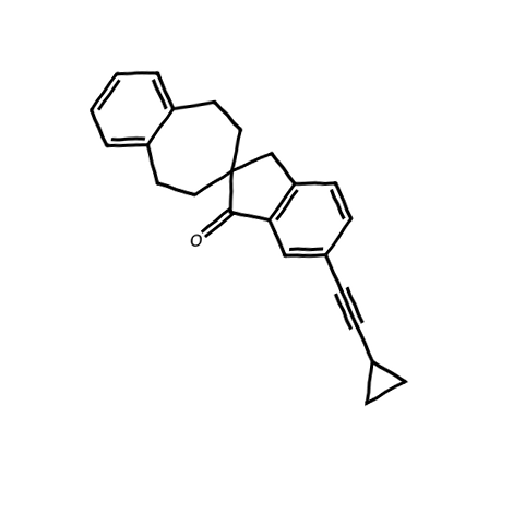 O=C1c2cc(C#CC3CC3)ccc2CC12CCc1ccccc1CC2